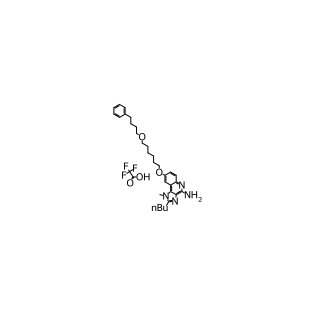 CCCCc1nc2c(N)nc3ccc(OCCCCCCOCCCCc4ccccc4)cc3c2n1C.O=C(O)C(F)(F)F